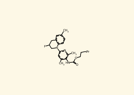 Cc1ccc2c(c1)CC(F)CN2c1cc(C)c(NC(=O)OCCC(C)C)c(C)n1